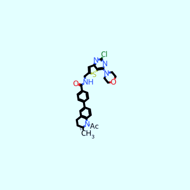 CC(=O)N1c2ccc(-c3ccc(C(=O)NCc4cc5nc(Cl)nc(N6CCOCC6)c5s4)cc3)cc2CC[C@@H]1C